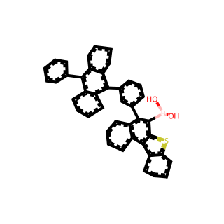 OB(O)c1c(-c2cccc(-c3c4ccccc4c(-c4ccccc4)c4ccccc34)c2)c2ccccc2c2c1sc1ccccc12